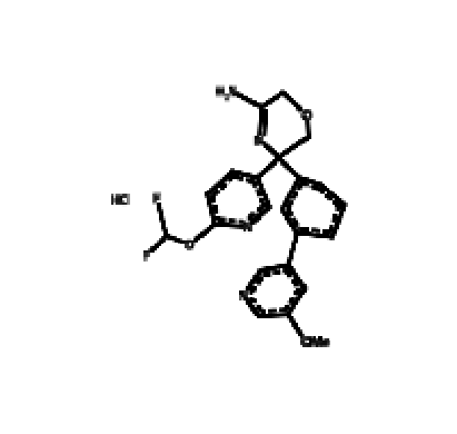 COc1cncc(-c2cccc(C3(c4ccc(OC(F)F)nc4)COCC(N)=N3)c2)c1.Cl